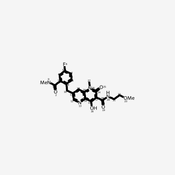 CNC(=O)c1cc(F)ccc1Cc1cnc2c(O)c(C(=O)NCCOC)c(=O)n(C)c2c1